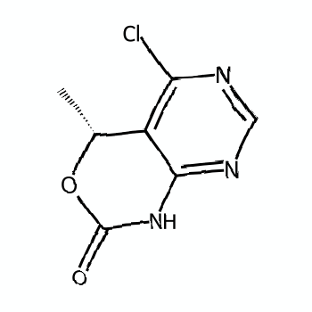 C[C@H]1OC(=O)Nc2ncnc(Cl)c21